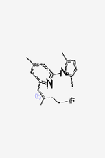 C/C(=C/c1cc(C)cc(-n2c(C)ccc2C)n1)CCF